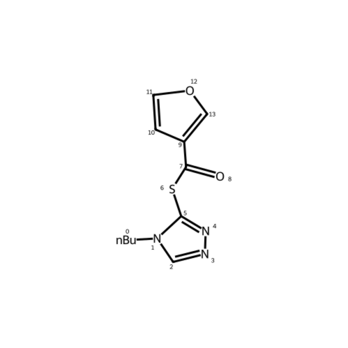 CCCCn1cnnc1SC(=O)c1ccoc1